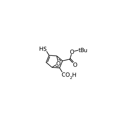 CC(C)(C)OC(=O)c1c(C(=O)O)c2cc(S)c1o2